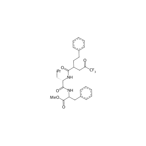 COC(=O)C(Cc1ccccc1)NC(=O)[C@H](CC(C)C)NC(=O)C(CCc1ccccc1)CC(=O)C(F)(F)F